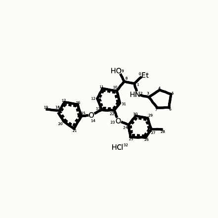 CCC(NC1CCCC1)C(O)c1ccc(Oc2ccc(C)cc2)c(Oc2ccc(C)cc2)c1.Cl